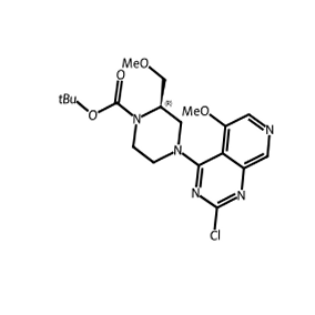 COC[C@H]1CN(c2nc(Cl)nc3cncc(OC)c23)CCN1C(=O)OC(C)(C)C